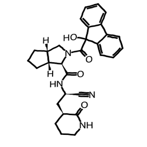 N#C[C@@H](C[C@@H]1CCCNC1=O)NC(=O)[C@H]1[C@@H]2CCC[C@@H]2CN1C(=O)C1(O)c2ccccc2-c2ccccc21